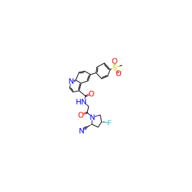 CS(=O)(=O)c1ccc(-c2ccc3nccc(C(=O)NCC(=O)N4C[C@@H](F)C[C@H]4C#N)c3c2)cc1